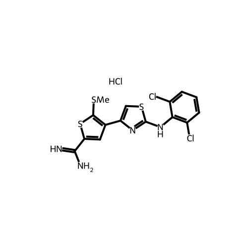 CSc1sc(C(=N)N)cc1-c1csc(Nc2c(Cl)cccc2Cl)n1.Cl